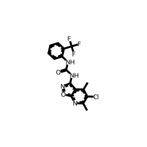 Cc1nc2onc(NC(=O)Nc3ccccc3C(F)(F)F)c2c(C)c1Cl